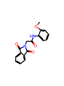 COc1ccccc1NC(=O)CN1C(=O)c2ccccc2C1=O